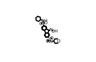 O=S(=O)(NC1CCCCC1)c1ccc2c(c1)C(=NO)c1cc(S(=O)(=O)NC3CCOCC3)ccc1-2